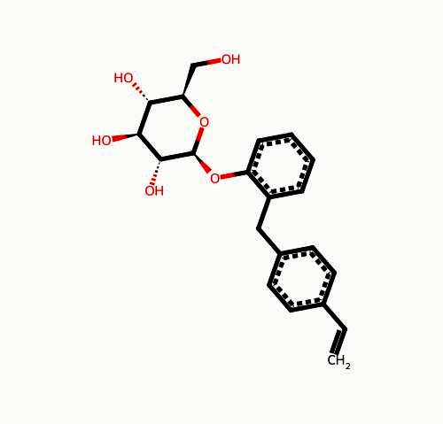 C=Cc1ccc(Cc2ccccc2O[C@@H]2O[C@H](CO)[C@@H](O)[C@H](O)[C@H]2O)cc1